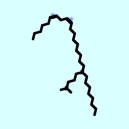 CCCCC/C=C\C/C=C\CCCCCCCCN(CCCCCCCC)CCCN(C)C